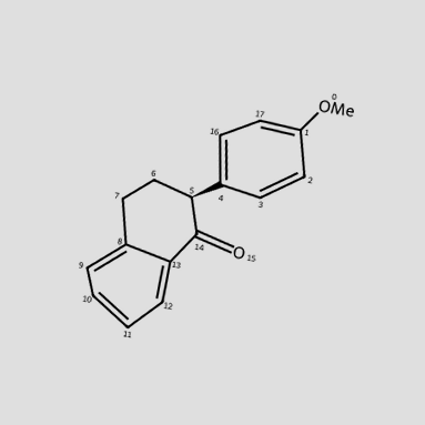 COc1ccc([C@@H]2CCc3ccccc3C2=O)cc1